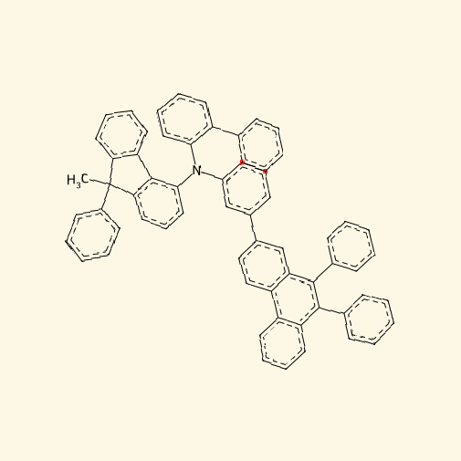 CC1(c2ccccc2)c2ccccc2-c2c(N(c3cccc(-c4ccc5c(c4)c(-c4ccccc4)c(-c4ccccc4)c4ccccc45)c3)c3ccccc3-c3ccccc3)cccc21